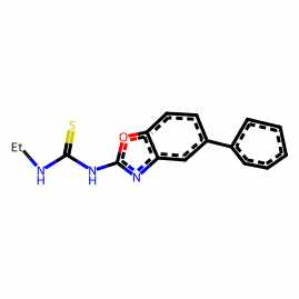 CCNC(=S)Nc1nc2cc(-c3ccccc3)ccc2o1